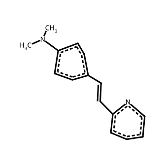 CN(C)c1ccc(/C=C/c2ccccn2)cc1